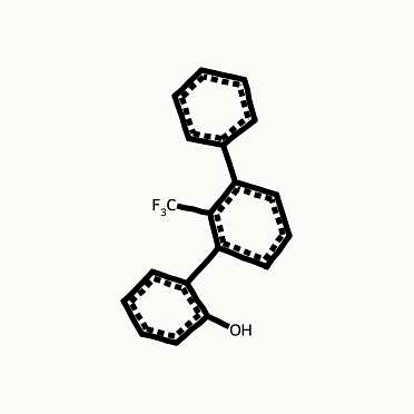 Oc1ccccc1-c1cccc(-c2ccccc2)c1C(F)(F)F